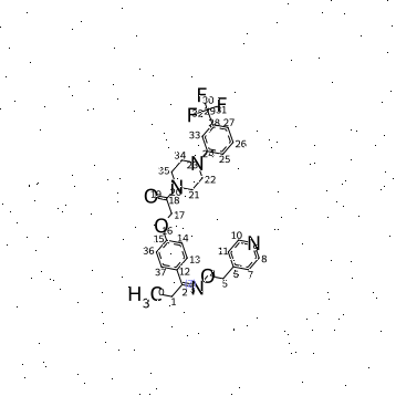 CC/C(=N/OCc1ccncc1)c1ccc(OCC(=O)N2CCN(c3cccc(C(F)(F)F)c3)CC2)cc1